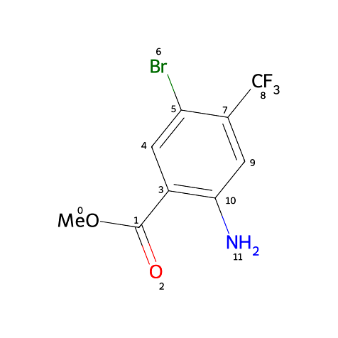 COC(=O)c1cc(Br)c(C(F)(F)F)cc1N